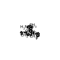 Cc1cc(N)nc(-c2ncc3c(N(C)[C@@H]4CCN(C(=O)/C=C/[C@@H]5CCN5C)C4)nc(OC[C@@]45CCCN4C[C@H](F)C5)nc3c2F)c1C(F)(F)F